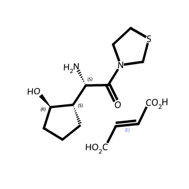 N[C@H](C(=O)N1CCSC1)[C@@H]1CCC[C@H]1O.O=C(O)/C=C/C(=O)O